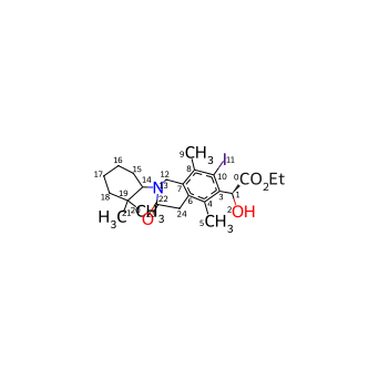 CCOC(=O)[C@@H](O)c1c(C)c2c(c(C)c1I)CN(C1CCCCC1(C)C)C(=O)C2